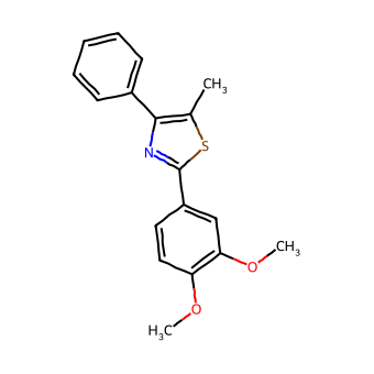 COc1ccc(-c2nc(-c3ccccc3)c(C)s2)cc1OC